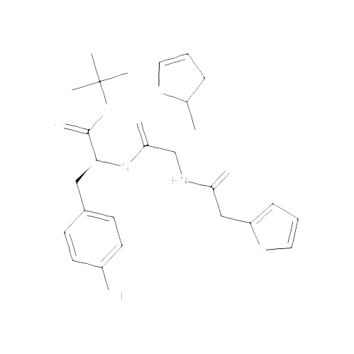 CC(C)(C)OC(=O)[C@H](Cc1ccc(O)cc1)NC(=O)[C@H](CC1CC=CS1)NC(=O)Cc1cccs1